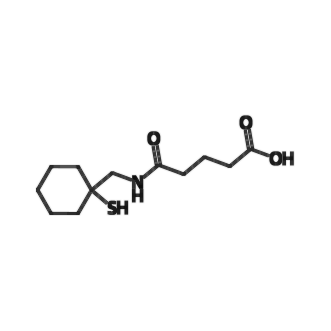 O=C(O)CCCC(=O)NCC1(S)CCCCC1